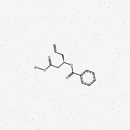 C=CC[C@H](CC(=O)OC(C)C)OC(=O)c1ccccc1